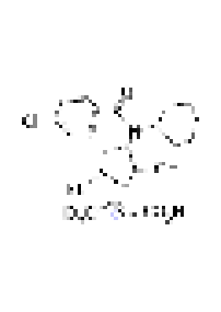 CCN1CC(O)C(N(C(=O)c2ccc(Cl)cc2)C2CCCCC2)C1.O=C(O)/C=C/C(=O)O